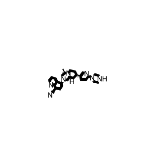 C[C@@H]1CN(c2ccc(C#N)c3ncccc23)C[C@H]2C[C@H](c3ccc(N4CCNCC4)nc3)CCN21